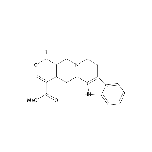 COC(=O)C1=CO[C@H](C)C2CN3CCc4c([nH]c5ccccc45)C3CC12